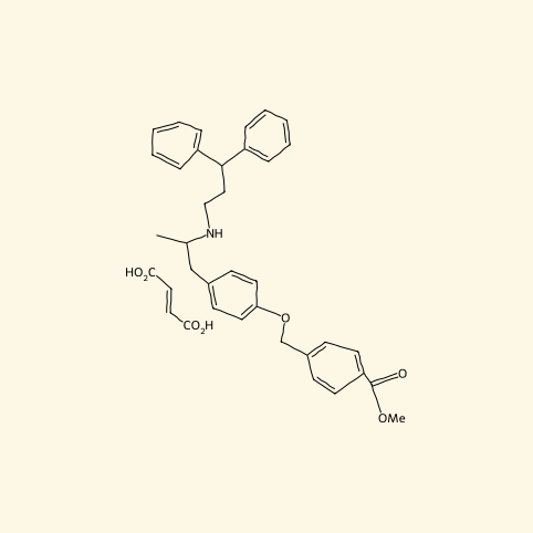 COC(=O)c1ccc(COc2ccc(CC(C)NCCC(c3ccccc3)c3ccccc3)cc2)cc1.O=C(O)C=CC(=O)O